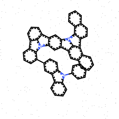 c1ccc(-n2c3ccccc3c3cc(-c4cccc5c6cccc7c8cc9c(cc8n(c45)c76)c4cc5ccccc5c5c6ccc7ccccc7c6n9c45)ccc32)cc1